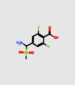 CS(=O)(=O)C(N)c1cc(F)c(C(=O)O)c(F)c1